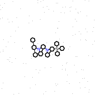 c1ccc(-c2ccc(-c3ccccc3)c(-n3c4ccccc4c4c(-n5c6ccccc6c6cc([Si](c7ccccc7)(c7ccccc7)c7ccccc7)ccc65)cccc43)c2)cc1